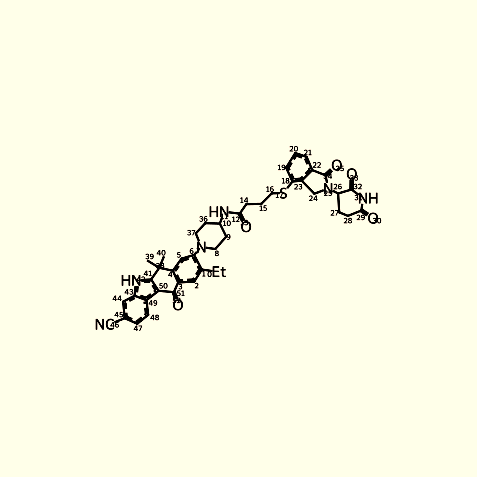 CCc1cc2c(cc1N1CCC(NC(=O)CCCSc3cccc4c3CN(C3CCC(=O)NC3=O)C4=O)CC1)C(C)(C)c1[nH]c3cc(C#N)ccc3c1C2=O